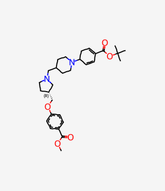 COC(=O)c1ccc(OC[C@@H]2CCN(CC3CCN(C4C=CC(C(=O)OC(C)(C)C)=CC4)CC3)C2)cc1